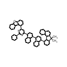 CC1(C)c2cccc(-c3ccc(-c4ccc(-c5cc(-c6cccc7oc8ccccc8c67)nc(-c6ccccc6)n5)c5ccccc45)c4ccccc34)c2-c2c1ccc1ccccc21